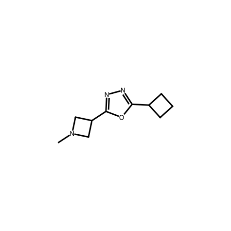 CN1CC(c2nnc(C3CCC3)o2)C1